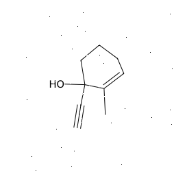 C#CC1(O)CCCC=C1C